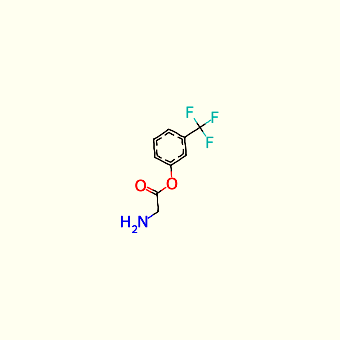 NCC(=O)Oc1cccc(C(F)(F)F)c1